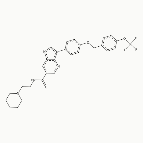 O=C(NCCN1CCCCC1)c1cnc2c(c1)ncn2-c1ccc(OCc2ccc(OC(F)(F)F)cc2)cc1